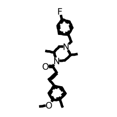 COc1cc(C=CC(=O)N2CC(C)N(Cc3ccc(F)cc3)CC2C)ccc1C